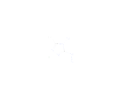 Cc1nnc(NN)n1N.Cl